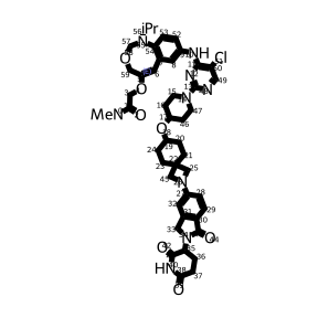 CNC(=O)CO/C1=C/c2cc(Nc3nc(N4CCC(OC5CCC6(CC5)CN(c5ccc7c(c5)CN(C5CCC(=O)NC5=O)C7=O)C6)CC4)ncc3Cl)ccc2N(C(C)C)COC1